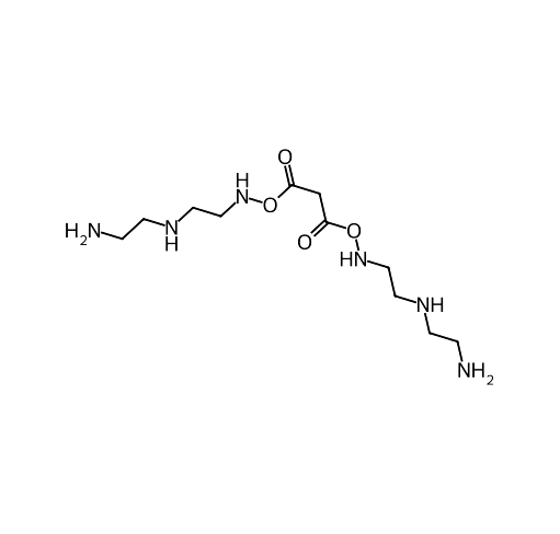 NCCNCCNOC(=O)CC(=O)ONCCNCCN